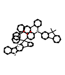 CC1(C)c2ccccc2-c2ccc(N(c3ccc4c(c3)-c3ccccc3-c3ccccc3C43c4ccccc4-c4cc5sc6ccccc6c5cc43)c3ccccc3-c3ccc(-c4ccccc4)cc3)cc21